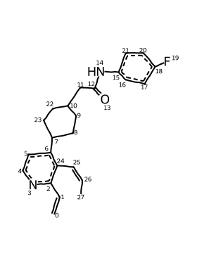 C=Cc1nccc(C2CCC(CC(=O)Nc3ccc(F)cc3)CC2)c1/C=C\C